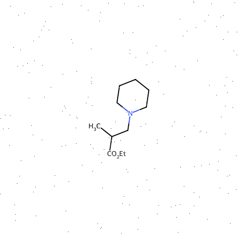 CCOC(=O)C(C)CN1CCCCC1